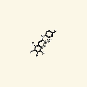 O=[N+]([O-])/C(=C\c1c(F)c(F)c(F)c(F)c1F)Sc1ccc(F)cc1